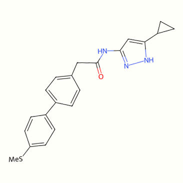 CSc1ccc(-c2ccc(CC(=O)Nc3cc(C4CC4)[nH]n3)cc2)cc1